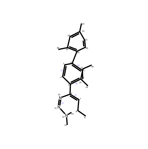 C\C=C(/C=C\C(C(=C\CC)\N=N/N(C)C)=C(\C)CC)c1ccc(C)cc1C